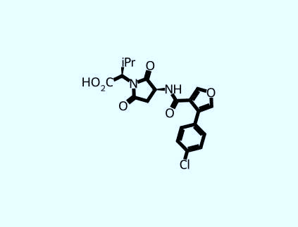 CC(C)[C@H](C(=O)O)N1C(=O)C[C@H](NC(=O)c2cocc2-c2ccc(Cl)cc2)C1=O